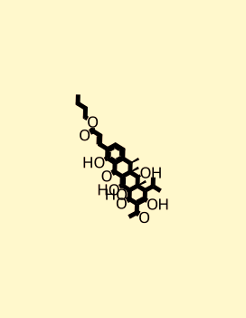 CCCCOC(=O)/C=C/c1ccc2c(c1O)C(=O)C1=C(O)[C@@]3(O)C(=O)C(C(C)=O)=C(O)C(C(C)C)[C@@]3(C)[C@H](O)[C@@]1(C)[C@@H]2C